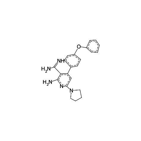 N=C(N)c1c(-c2ccc(Oc3ccccc3)cc2)cc(N2CCCC2)nc1N